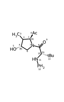 CC(=O)[C@@H]1C(C)[C@@H](O)CN1C(=O)[C@@H](NP)C(C)(C)C